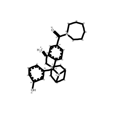 C=CCN1CC2CC(C1)N2C(c1ccc(C(=O)N2CCCCCC2)cc1)c1cccc(O)c1